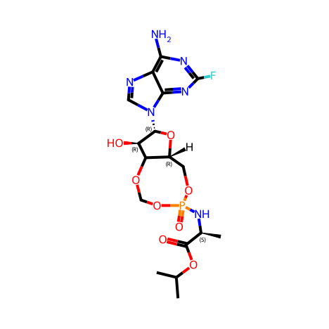 CC(C)OC(=O)[C@H](C)NP1(=O)OCOC2[C@@H](O)[C@H](n3cnc4c(N)nc(F)nc43)O[C@@H]2CO1